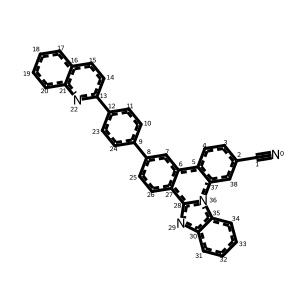 N#Cc1ccc2c3cc(-c4ccc(-c5ccc6ccccc6n5)cc4)ccc3c3nc4ccccc4n3c2c1